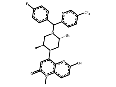 CC[C@@H]1CN(c2cc(=O)n(C)c3ccc(C#N)nc23)[C@@H](C)CN1C(c1ccc(F)cc1)c1ccc(C(F)(F)F)cn1